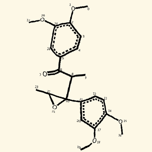 COc1ccc(C(=O)C(C)C2(c3ccc(OC)c(OC)c3)OC2C)cc1OC